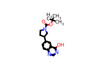 CC(C)(C)OC(=O)N1CCC(c2ccc3ncnc(O)c3c2)C1